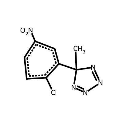 CC1(c2cc([N+](=O)[O-])ccc2Cl)N=NN=N1